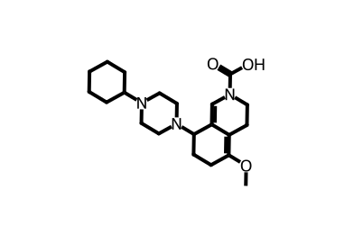 COC1=C2CCN(C(=O)O)C=C2C(N2CCN(C3CCCCC3)CC2)CC1